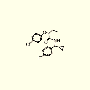 CCC(Oc1ccc(Cl)cc1)C(=O)NC(c1ccc(F)cc1)C1CC1